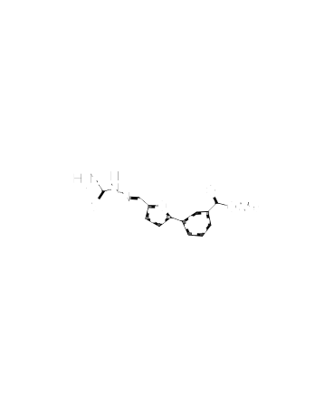 COC(=O)c1cccc(-c2ccc(/C=N/NC(N)=S)o2)c1